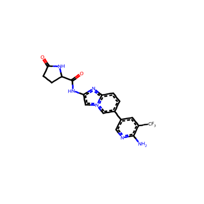 Nc1ncc(-c2ccc3nc(NC(=O)C4CCC(=O)N4)cn3c2)cc1C(F)(F)F